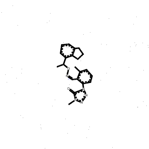 Cc1cccc(-n2nnn(C)c2=O)c1/C=N\OC(C)c1cccc2c1CCC2